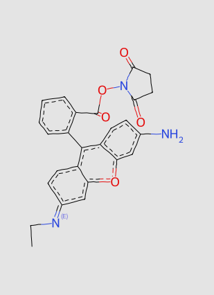 CC/N=c1\ccc2c(-c3ccccc3C(=O)ON3C(=O)CCC3=O)c3ccc(N)cc3oc-2c1